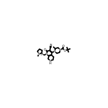 CC1CN(C(=O)OC(C)(C)C)CCN1c1c2c(n(C[C@@H]3CCCN3C)c(=O)c1C#N)CNCC2